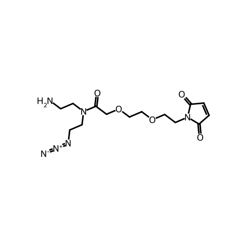 [N-]=[N+]=NCCN(CCN)C(=O)COCCOCCN1C(=O)C=CC1=O